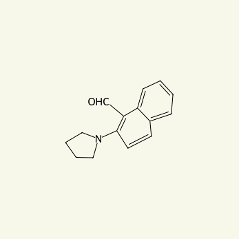 O=Cc1c(N2CCCC2)ccc2ccccc12